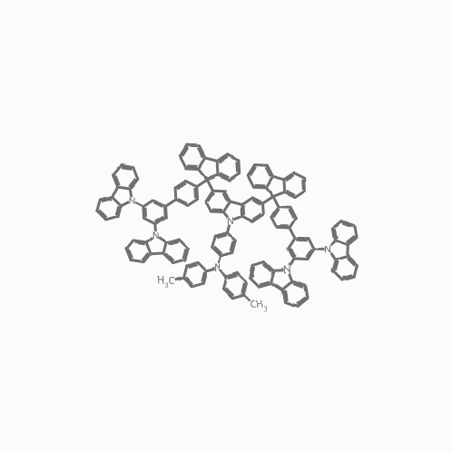 Cc1ccc(N(c2ccc(C)cc2)c2ccc(-n3c4ccc(C5(c6ccc(-c7cc(-n8c9ccccc9c9ccccc98)cc(-n8c9ccccc9c9ccccc98)c7)cc6)c6ccccc6-c6ccccc65)cc4c4cc(C5(c6ccc(-c7cc(-n8c9ccccc9c9ccccc98)cc(-n8c9ccccc9c9ccccc98)c7)cc6)c6ccccc6-c6ccccc65)ccc43)cc2)cc1